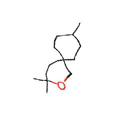 CC1CCC2(CC1)COC(C)(C)C2